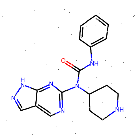 O=C(Nc1ccccc1)N(c1ncc2cn[nH]c2n1)C1CCNCC1